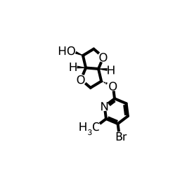 Cc1nc(O[C@@H]2CO[C@H]3[C@@H]2OC[C@@H]3O)ccc1Br